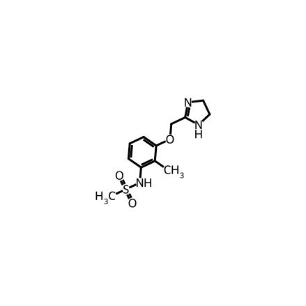 Cc1c(NS(C)(=O)=O)cccc1OCC1=NCCN1